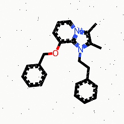 Cc1c(C)[n+]2cccc(OCc3ccccc3)c2n1CCc1ccccc1